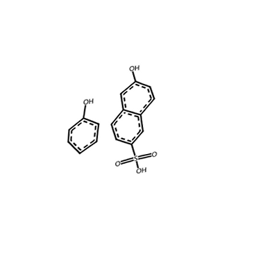 O=S(=O)(O)c1ccc2cc(O)ccc2c1.Oc1ccccc1